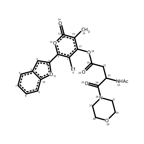 CCc1c(-c2cc3ccccc3o2)oc(=O)c(C)c1OC(=O)CC(NC(C)=O)C(=O)N1CCOCC1